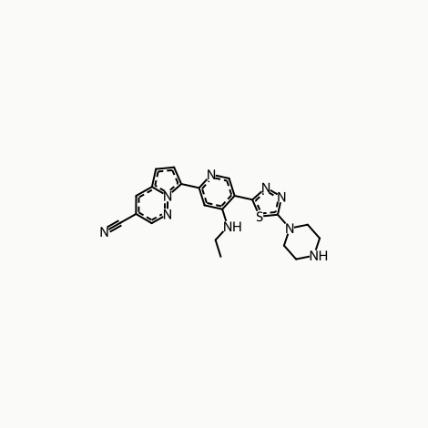 CCNc1cc(-c2ccc3cc(C#N)cnn23)ncc1-c1nnc(N2CCNCC2)s1